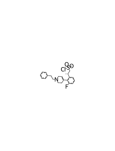 O=S(=O)(Cl)C[CH]c1cccc(F)c1C1=CCN(CCc2ccccc2)CC1